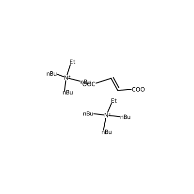 CCCC[N+](CC)(CCCC)CCCC.CCCC[N+](CC)(CCCC)CCCC.O=C([O-])/C=C/C(=O)[O-]